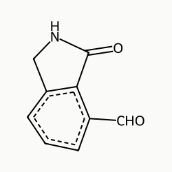 O=Cc1cccc2c1C(=O)NC2